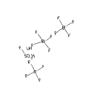 F[B-](F)(F)F.F[B-](F)(F)F.F[B-](F)(F)F.O=S(=O)(O)F.[LiH]